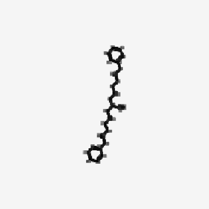 OC(COCCOCc1ccccc1)COCCOCc1ccccc1